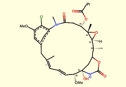 COc1cc2cc(c1Cl)N(C)C(=O)C[C@H](OC(=O)C(C)C)[C@]1(C)O[C@H]1[C@H](C)C1C[C@@](O)(NC(=O)O1)[C@H](OC)/C=C/C=C(\C)C2